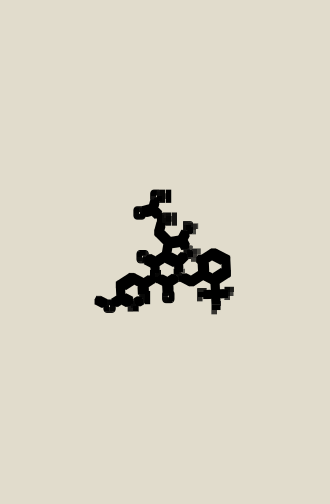 COc1ccc(-n2c(=O)c3c(CNC(=O)O)c(Br)sc3n(Cc3c(F)cccc3C(F)(F)F)c2=O)nn1